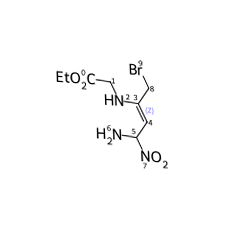 CCOC(=O)CN/C(=C\C(N)[N+](=O)[O-])CBr